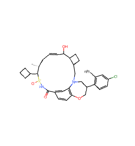 CCCc1cc(Cl)ccc1C1COc2ccc3cc2N(C1)CC1CCC1C(O)/C=C/C[C@@H](C)C(C1CCC1)[S+]([O-])NC3=O